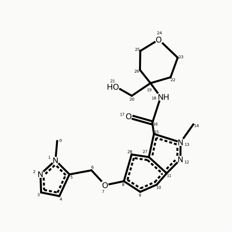 Cn1nccc1COc1ccc2nn(C)c(C(=O)NC3(CO)CCOCC3)c2c1